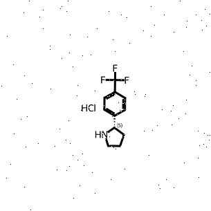 Cl.FC(F)(F)c1ccc([C@@H]2CCCN2)cc1